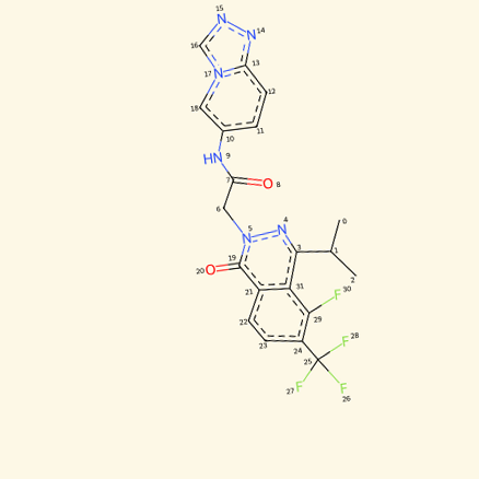 CC(C)c1nn(CC(=O)Nc2ccc3nncn3c2)c(=O)c2ccc(C(F)(F)F)c(F)c12